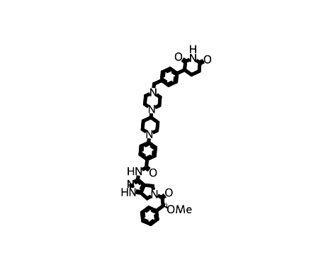 CO[C@@H](C(=O)N1Cc2[nH]nc(NC(=O)c3ccc(N4CCC(N5CCN(Cc6ccc(C7CCC(=O)NC7=O)cc6)CC5)CC4)cc3)c2C1)c1ccccc1